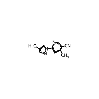 Cc1cnn(-c2cc(C)c(C#N)cn2)c1